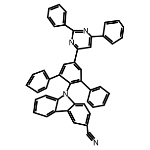 N#Cc1ccc2c(c1)c1ccccc1n2-c1c(-c2ccccc2)cc(-c2cc(-c3ccccc3)nc(-c3ccccc3)n2)cc1-c1ccccc1